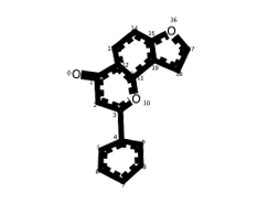 O=c1cc(-c2ccccc2)oc2c1ccc1occc12